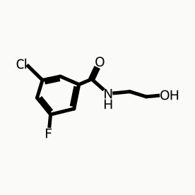 O=C(NCCO)c1cc(F)cc(Cl)c1